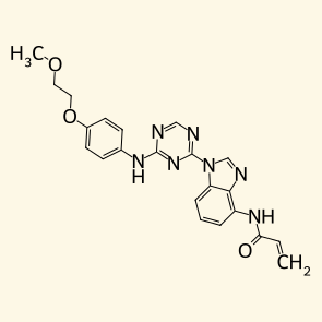 C=CC(=O)Nc1cccc2c1ncn2-c1ncnc(Nc2ccc(OCCOC)cc2)n1